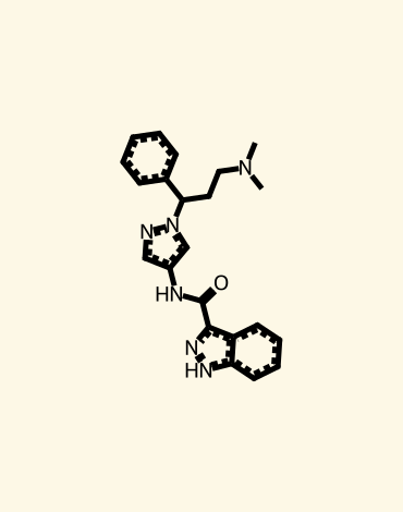 CN(C)CCC(c1ccccc1)n1cc(NC(=O)c2n[nH]c3ccccc23)cn1